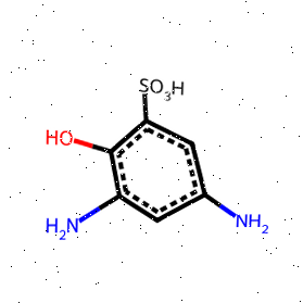 Nc1cc(N)c(O)c(S(=O)(=O)O)c1